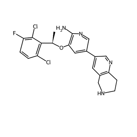 C[C@@H](Oc1cc(-c2cnc3c(c2)CNCC3)cnc1N)c1c(Cl)ccc(F)c1Cl